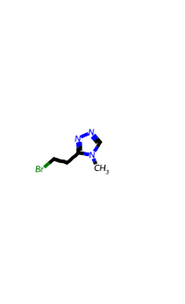 Cn1cnnc1CCBr